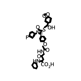 O=C(CNC(=O)COc1ccc([C@@H]2[C@@H](SC[C@H](O)c3ccc4c(c3)OCO4)C(=O)N2c2ccc(F)cc2)cc1)C[C@@H](NC1CCCCC1)C(=O)O